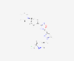 Cc1cc(-c2nc(-c3ccc(N4CCCCC4)cc3)no2)nn1Cc1ccc(Cl)nc1